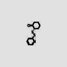 O=C1CCCC[C@@H]1SSc1ccccn1